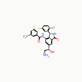 NCC(O)c1cc(NC(=O)c2cc(F)cc(C(F)(F)F)c2)c2c(c1)C(=O)NC2c1cc(F)ccc1Cl